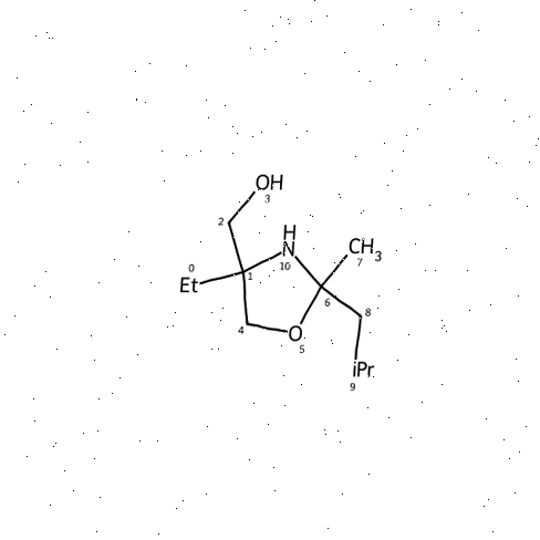 CCC1(CO)COC(C)(CC(C)C)N1